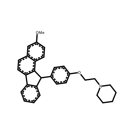 COc1ccc2c3c(ccc2c1)-c1ccccc1C3c1ccc(OCCN2CCCCC2)cc1